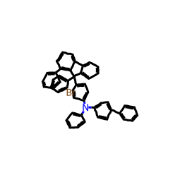 Brc1ccccc1C1(c2ccc(N(c3ccccc3)c3ccc(-c4ccccc4)cc3)cc2)c2ccccc2-c2cccc(-c3ccccc3)c21